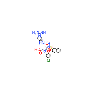 N=C(N)N1CCC[C@@H](CNC(=O)C[C@H](NS(=O)(=O)c2ccc3ccccc3c2)C(=O)N(CC(=O)O)Cc2cccc(Cl)c2)C1